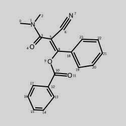 CN(C)C(=O)C(C#N)=C(OC(=O)c1ccccc1)c1ccccc1